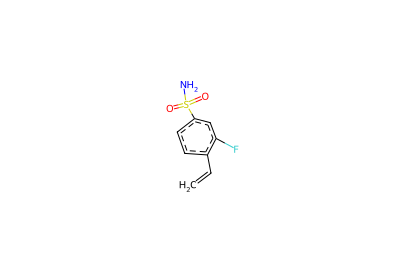 C=Cc1ccc(S(N)(=O)=O)cc1F